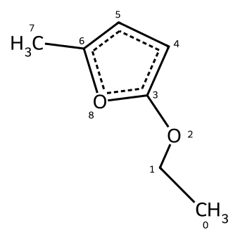 CCOc1ccc(C)o1